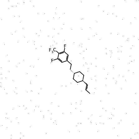 C/C=C/[C@H]1CC[C@H](CCc2cc(F)c(C(F)(F)F)c(F)c2)CC1